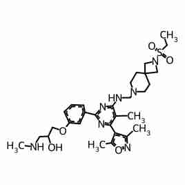 CCS(=O)(=O)N1CC2(CCN(CNc3nc(-c4cccc(OCC(O)CNC)c4)nc(-c4c(C)noc4C)c3C)CC2)C1